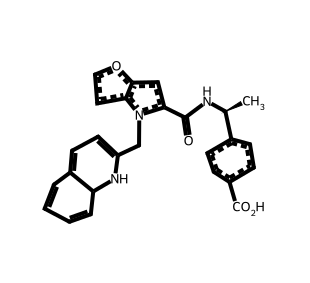 C[C@H](NC(=O)c1cc2occc2n1CC1=CC=C2C=CC=CC2N1)c1ccc(C(=O)O)cc1